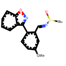 COc1ccc(-c2noc3ccccc23)c(/C=N/[S@@+]([O-])C(C)(C)C)c1